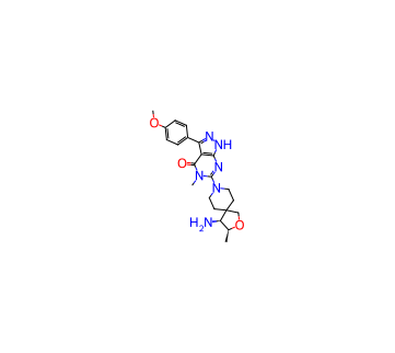 COc1ccc(-c2n[nH]c3nc(N4CCC5(CC4)CO[C@@H](C)[C@H]5N)n(C)c(=O)c23)cc1